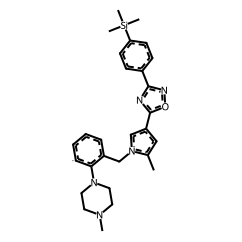 Cc1cc(-c2nc(-c3ccc([Si](C)(C)C)cc3)no2)cn1Cc1ccc[c]c1N1CCN(C)CC1